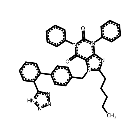 CCCCCc1nc2c(c(=O)n(-c3ccccc3)c(=O)n2-c2ccccc2)n1Cc1ccc(-c2ccccc2-c2nnn[nH]2)cc1